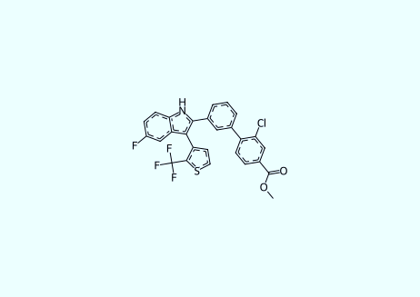 COC(=O)c1ccc(-c2cccc(-c3[nH]c4ccc(F)cc4c3-c3ccsc3C(F)(F)F)c2)c(Cl)c1